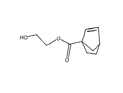 O=C(OCCO)C12C=CC(CC1)C2